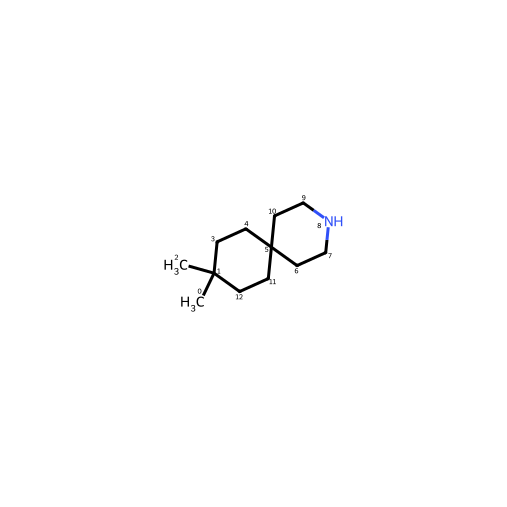 CC1(C)CCC2(CCNCC2)CC1